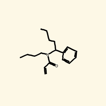 C=CC(=O)N(CCCC)C(CCCC)c1ccccc1